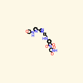 O=C1CCC(N2C(=O)c3ccc(NCC4CC(n5cc(-c6cccc(NC7CCOCC7)n6)cn5)C4)cc3C2=O)C(=O)N1